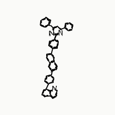 c1ccc(-c2cc(-c3ccccc3)nc(-c3ccc(-c4ccc5cc(-c6ccc(-c7cccc8cccnc78)cc6)ccc5c4)cc3)n2)cc1